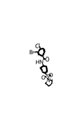 O=C(Nc1ccc(S(=O)(=O)N2CCCC2)cc1)c1ccc(Cl)c(Br)c1